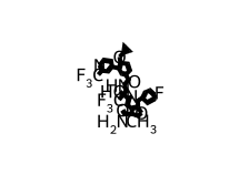 C[C@]1(C(N)=O)COc2c1cc(C(O)(CNC(=O)c1ccc(OC3CC3)c(-c3ccnc(C(F)(F)F)c3)c1)C(F)(F)F)nc2-c1ccc(F)cc1